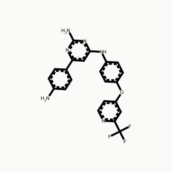 Nc1ccc(-c2cc(Nc3ccc(Oc4ccnc(C(F)(F)F)c4)cc3)nc(N)n2)cc1